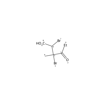 CCC(=O)C(C)(Br)C(Br)C(=O)O